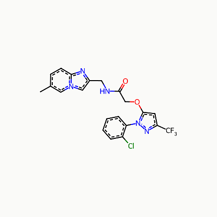 Cc1ccc2nc(CNC(=O)COc3cc(C(F)(F)F)nn3-c3ccccc3Cl)cn2c1